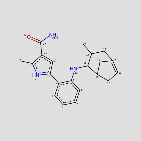 Cc1[nH]c(-c2ccccc2NC2C(C)CC3=CCC2C3)cc1C(N)=O